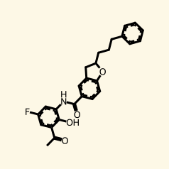 CC(=O)c1cc(F)cc(NC(=O)c2ccc3c(c2)CC(CCCc2ccccc2)O3)c1O